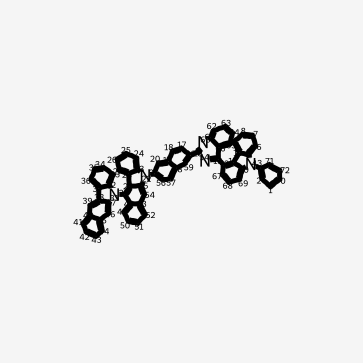 c1ccc(-n2c3ccccc3c3c(-c4nc(-c5ccc6cc(-n7c8ccccc8c8c(-n9c%10ccccc%10c%10cc%11ccccc%11cc%109)c9ccccc9cc87)ccc6c5)nc5ccccc45)cccc32)cc1